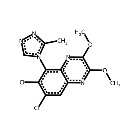 COc1nc2cc(Cl)c(Cl)c(-n3cnnc3C)c2nc1OC